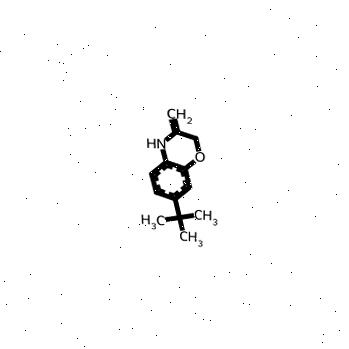 C=C1COc2cc(C(C)(C)C)ccc2N1